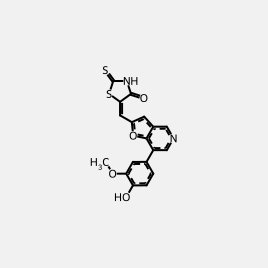 COc1cc(-c2cncc3cc(C=C4SC(=S)NC4=O)oc23)ccc1O